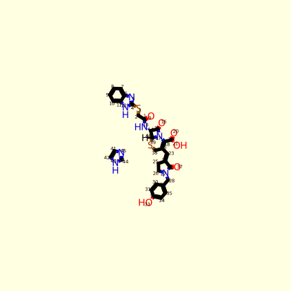 O=C(CSc1nc2ccccc2[nH]1)N[C@@H]1C(=O)N2C(C(=O)O)=C(/C=C3\CCN(Cc4ccc(O)cc4)C3=O)CS[C@H]12.c1c[nH]cn1